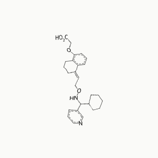 O=C(O)COc1cccc2c1CCCC2=CCONC(c1cccnc1)C1CCCCC1